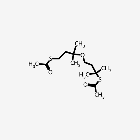 CC(=O)SCCC(C)(C)OCCC(C)(C)SC(C)=O